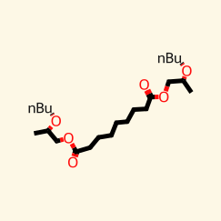 CCCCOC(C)COC(=O)CCCCCCCC(=O)OCC(C)OCCCC